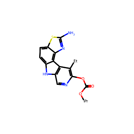 CCc1c(OC(=O)OC(C)C)ncc2[nH]c3ccc4sc(N)nc4c3c12